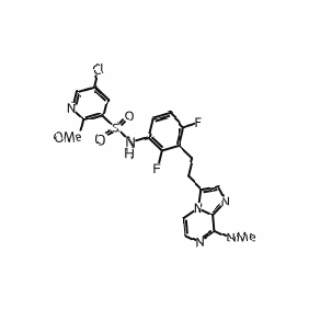 CNc1nccn2c(CCc3c(F)ccc(NS(=O)(=O)c4cc(Cl)cnc4OC)c3F)cnc12